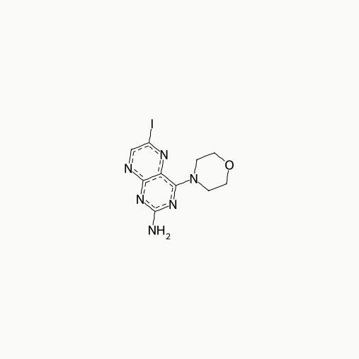 Nc1nc(N2CCOCC2)c2nc(I)cnc2n1